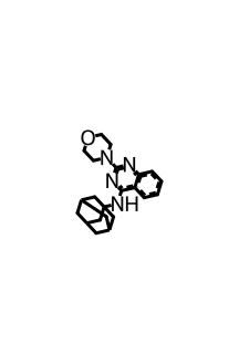 c1ccc2c(NC34CC5CC(CC(C5)C3)C4)nc(N3CCOCC3)nc2c1